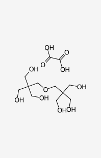 O=C(O)C(=O)O.OCC(CO)(CO)COCC(CO)(CO)CO